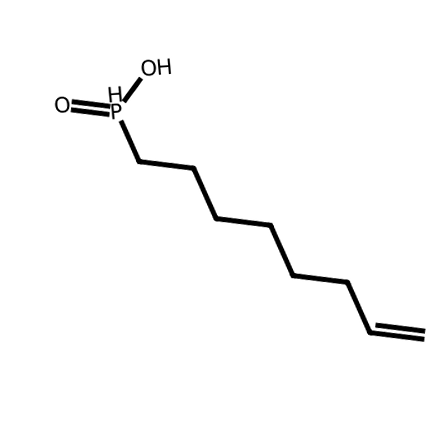 C=CCCCCCC[PH](=O)O